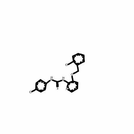 S=C(Nc1ccc(Cl)cc1)Nc1ncccc1OCc1ccccc1Cl